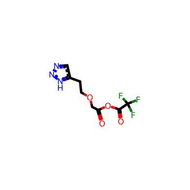 O=C(COCCc1cnn[nH]1)OC(=O)C(F)(F)F